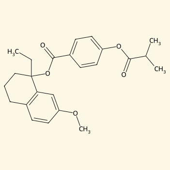 CCC1(OC(=O)c2ccc(OC(=O)C(C)C)cc2)CCCc2ccc(OC)cc21